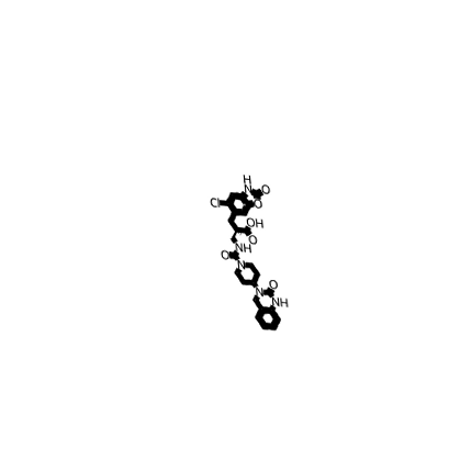 O=C(O)[C@@H](CNC(=O)N1CCC(N2Cc3ccccc3NC2=O)CC1)Cc1cc2oc(=O)[nH]c2cc1Cl